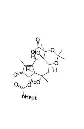 CCCCCCCC(=O)O[C@@H]1C(=O)C(C)=C2[C@H]1[C@@](C)(OC(C)=O)C[C@@H]1OC(C)(C)O[C@]3(C)C(=O)O[C@@H]2[C@@]13O